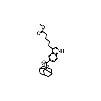 COC(=O)CCCCc1c[nH]c2ccc(C(=O)C34CC5CC(CC(C5)C3N)C4)cc12